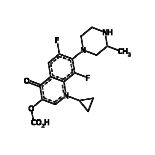 CC1CN(c2c(F)cc3c(=O)c(OC(=O)O)cn(C4CC4)c3c2F)CCN1